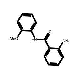 COc1ccccc1NC(=O)c1ccccc1N